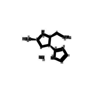 CC(=O)NC[C@@H]1N[C@@H](C(=O)O)C[C@H]1c1ncc[nH]1.Cl